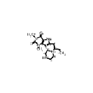 CCC(Cc1nc2c([nH]1)c(=O)n(C)c(=O)n2C)N1CCNCC1